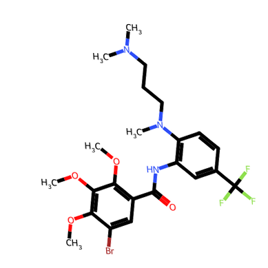 COc1c(Br)cc(C(=O)Nc2cc(C(F)(F)F)ccc2N(C)CCCN(C)C)c(OC)c1OC